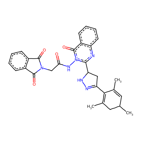 CC1=CC(C)CC(C)=C1C1=NNC(c2nc3ccccc3c(=O)n2NC(=O)CN2C(=O)c3ccccc3C2=O)C1